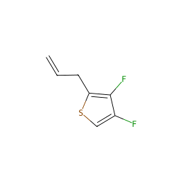 C=CCc1scc(F)c1F